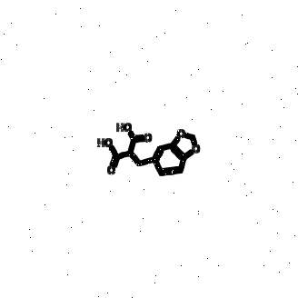 O=C(O)C(Cc1ccc2c(c1)OCO2)C(=O)O